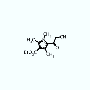 CCOC(=O)c1c(C)c(C(=O)CC#N)n(C)c1C